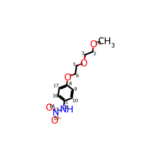 COCCOCCOc1ccc(N[N+](=O)[O-])cc1